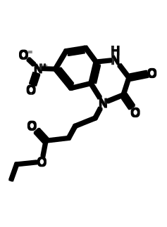 CCOC(=O)CCCn1c(=O)c(=O)[nH]c2ccc([N+](=O)[O-])cc21